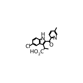 Cc1ccc(C(=O)c2[nH]c3ccc(Cl)cc3c2C(C)C(=O)O)nc1